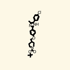 Cc1nc(-c2ccc(OCC3CCN(C(=O)OC(C)(C)C)CC3)cc2)[nH]c1-c1ccc(Cl)cc1